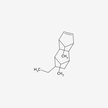 CCC1CC2C(C)C1C1C3C=CC(C3C)C21